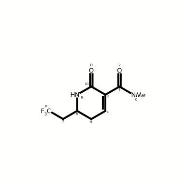 CNC(=O)C1=CCC(CC(F)(F)F)NC1=O